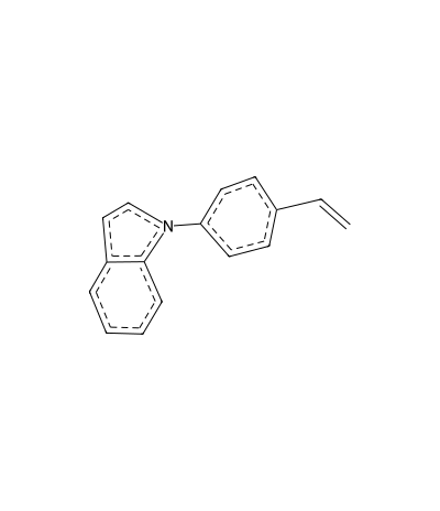 C=Cc1ccc(-n2ccc3ccccc32)cc1